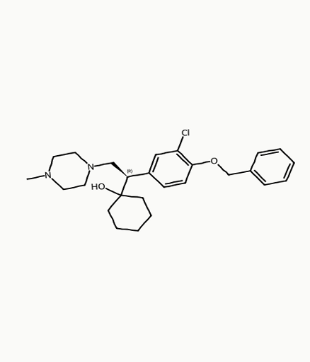 CN1CCN(C[C@@H](c2ccc(OCc3ccccc3)c(Cl)c2)C2(O)CCCCC2)CC1